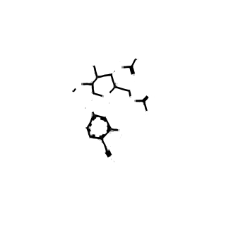 COC1C(C)[C@@H](OC(C)=O)C(COC(C)=O)O[C@@H]1Sc1ccc(C#N)c(Cl)c1